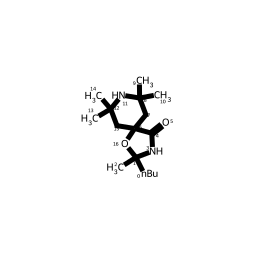 CCCCC1(C)NC(=O)C2(CC(C)(C)NC(C)(C)C2)O1